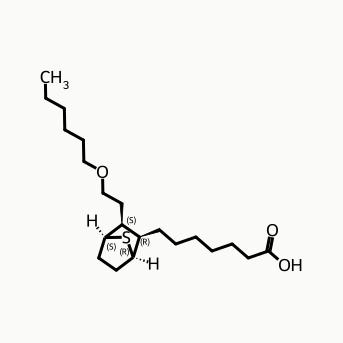 CCCCCCOCC[C@H]1[C@@H](CCCCCCC(=O)O)[C@H]2CC[C@@H]1S2